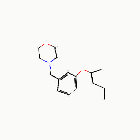 CCCC(C)Oc1cccc(CN2CCOCC2)c1